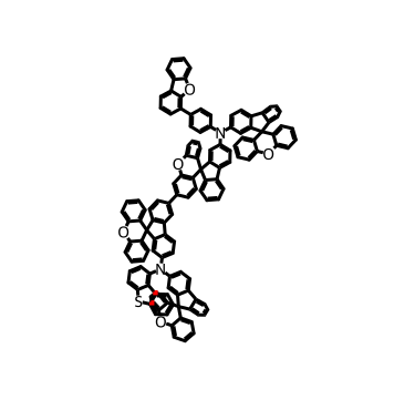 c1ccc2c(c1)Oc1ccccc1C21c2ccccc2-c2ccc(N(c3ccc(-c4cccc5c4oc4ccccc45)cc3)c3ccc4c(c3)C3(c5ccccc5Oc5cc(-c6ccc7c(c6)-c6ccc(N(c8ccc9c(c8)C8(c%10ccccc%10Oc%10ccccc%108)c8ccccc8-9)c8cccc9sc%10ccccc%10c89)cc6C76c7ccccc7Oc7ccccc76)ccc53)c3ccccc3-4)cc21